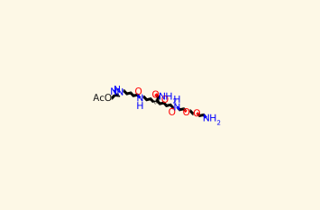 CC(=O)OCc1cn(CCCCC(=O)NCCCC[C@H](CC(=O)CCC(=O)NCCOCCOCCN)C(N)=O)nn1